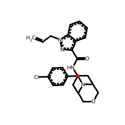 C=CCn1nc(C(=O)NC2CC3COCC(C2)N3Cc2ccc(Cl)cc2)c2ccccc21